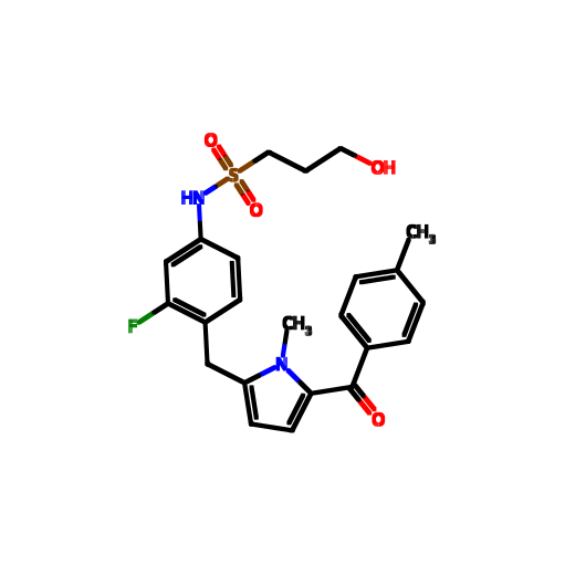 Cc1ccc(C(=O)c2ccc(Cc3ccc(NS(=O)(=O)CCCO)cc3F)n2C)cc1